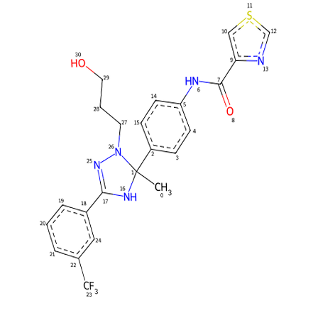 CC1(c2ccc(NC(=O)c3cscn3)cc2)NC(c2cccc(C(F)(F)F)c2)=NN1CCCO